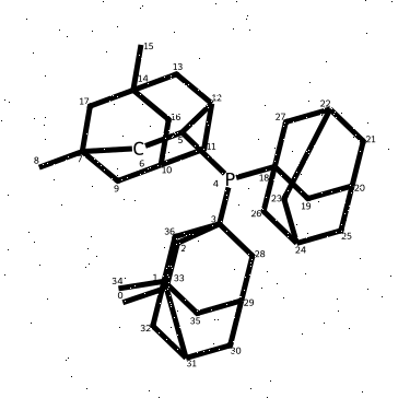 CC1CC2(P(C3CC4(C)CC5CC3CC(C)(C5)C4)C34CC5CC(CC(C5)C3)C4)CC3CC1CC(C)(C3)C2